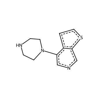 c1cc2c(N3CCNCC3)cncc2s1